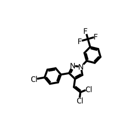 FC(F)(F)c1cccc(-n2cc(C=C(Cl)Cl)c(-c3ccc(Cl)cc3)n2)c1